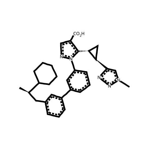 C[C@H](Cc1cccc(-c2cccc(-n3ncc(C(=O)O)c3[C@@H]3C[C@H]3c3cn(C)nn3)c2)c1)C1CCCCC1